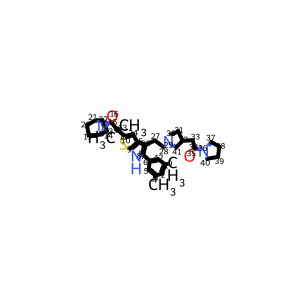 Cc1cc(C)cc(-c2[nH]c3sc(C(C)(C)C(=O)N4C5CCC4CC5)cc3c2CCN2CCC(CC(=O)N3CCCC3)C2)c1